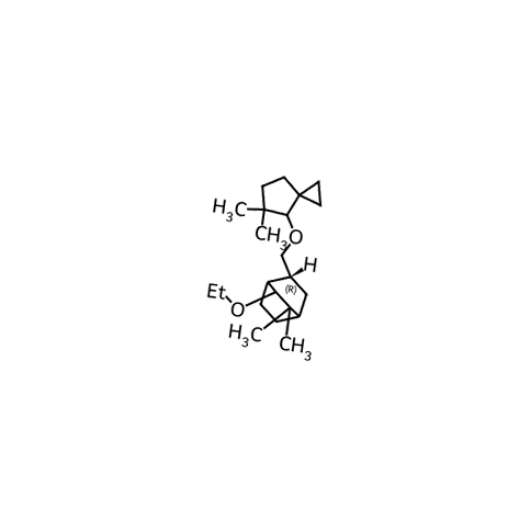 CCOC1C2CCC(C[C@H]2COC2C(C)(C)CCC23CC3)C1(C)C